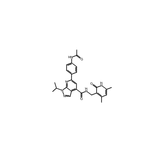 CC(=O)Nc1ccc(-c2cc(C(=O)NCc3c(C)cc(C)[nH]c3=O)c3cnn(C(C)C)c3n2)cc1